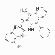 CC(C)c1cccc(C(C)C)c1NC(=O)Nc1c(C2CCCCC2)c2cccnc2n(C)c1=O